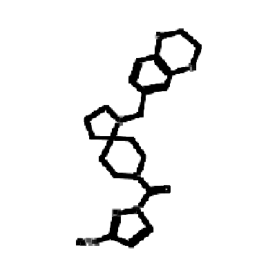 CC(=O)Nc1ccn(C(=O)N2CCC3(CCCN3Cc3ccc4c(c3)OCCO4)CC2)n1